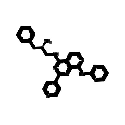 N[C@H](CNc1nc(-c2ccncc2)nc2c(Nc3ncccn3)nccc12)Cc1ccccc1